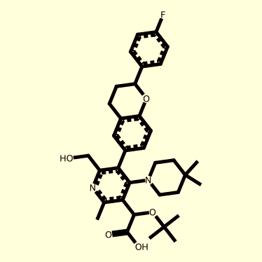 Cc1nc(CO)c(-c2ccc3c(c2)CCC(c2ccc(F)cc2)O3)c(N2CCC(C)(C)CC2)c1C(OC(C)(C)C)C(=O)O